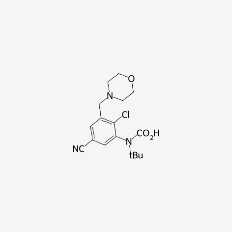 CC(C)(C)N(C(=O)O)c1cc(C#N)cc(CN2CCOCC2)c1Cl